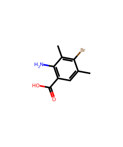 Cc1cc(C(=O)O)c(N)c(C)c1Br